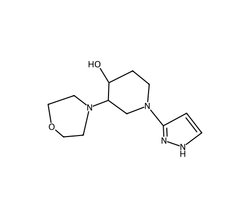 OC1CCN(c2cc[nH]n2)CC1N1CCOCC1